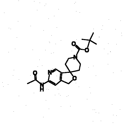 CC(=O)Nc1cc2c(cn1)C1(CCN(C(=O)OC(C)(C)C)CC1)OC2